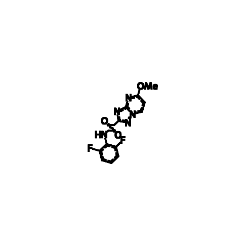 COc1ccn2nc(S(=O)(=O)Nc3c(F)cccc3F)nc2n1